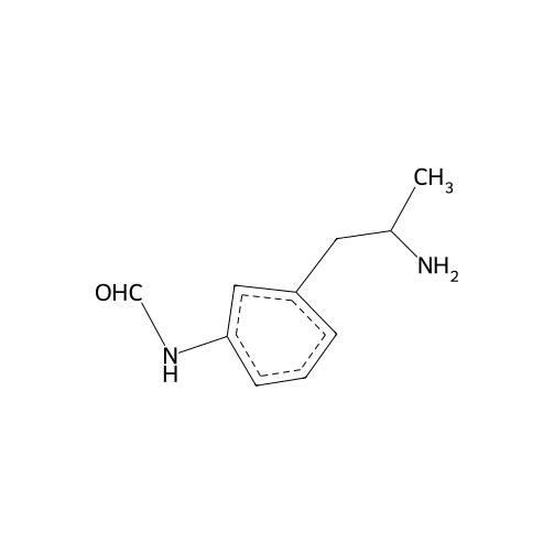 CC(N)Cc1cccc(NC=O)c1